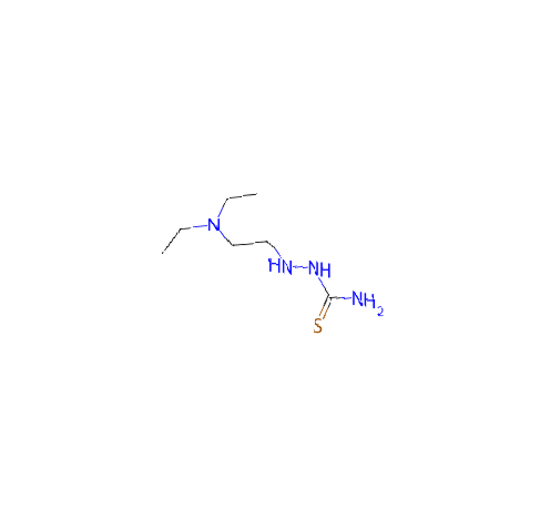 CCN(CC)CCNNC(N)=S